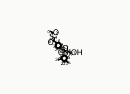 CC(=O)SCC(=O)c1ccc(S(=O)(=O)N(CCO)c2cc(C)cc(C)c2)cc1